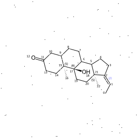 C/C=C1/CCC2C3CCC4CC(=O)CC[C@]4(C)[C@@]3(O)CC[C@]12C